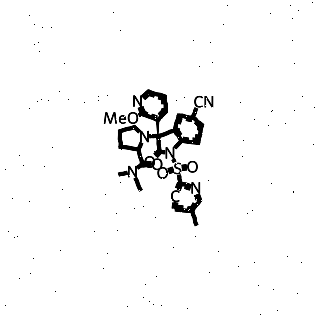 COc1ncccc1[C@]1(N2CCCC2C(=O)N(C)C)C(=O)N(S(=O)(=O)c2ccc(C)cn2)c2ccc(C#N)cc21